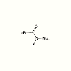 CCCC(=O)N(F)[N+](=O)[O-]